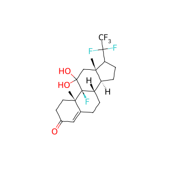 C[C@]12CCC(=O)C=C1CC[C@H]1[C@@H]3CCC(C(F)(F)C(F)(F)F)[C@@]3(C)CC(O)(O)[C@]12F